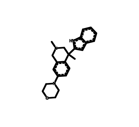 CN1Cc2cc(N3CCOCC3)ccc2C(C)(c2cc3ccccc3[nH]2)C1